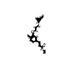 CCOC(=O)CCc1ccc(C)c(OCCC[C@@H]2CC2C)c1